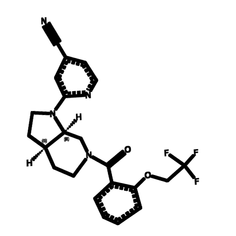 N#Cc1ccnc(N2CC[C@@H]3CCN(C(=O)c4ccccc4OCC(F)(F)F)C[C@@H]32)c1